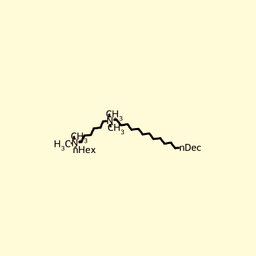 CCCCCCCCCCCCCCCCCCCCCC[N+](C)(C)CCCCCC[N+](C)(C)CCCCCC